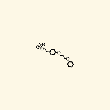 CS(=O)(=O)OCCc1ccc(OCCCOc2ccccc2)cc1